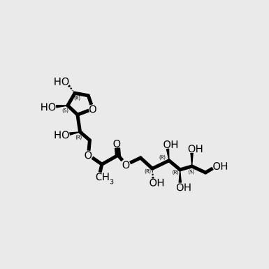 CC(OC[C@@H](O)C1OC[C@@H](O)[C@@H]1O)C(=O)OC[C@@H](O)[C@@H](O)[C@H](O)[C@@H](O)CO